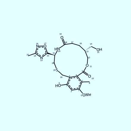 COc1cc(O)c2c(c1C)C(=O)OC[C@@H](CO)CCC(=O)N[C@H](c1nc(C)no1)CSC2